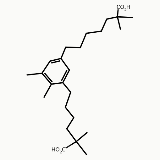 Cc1cc(CCCCCC(C)(C)C(=O)O)cc(CCCCC(C)(C)C(=O)O)c1C